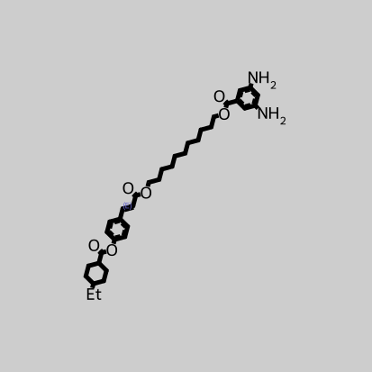 CCC1CCC(C(=O)Oc2ccc(/C=C/C(=O)OCCCCCCCCCCCOC(=O)c3cc(N)cc(N)c3)cc2)CC1